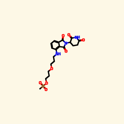 CS(=O)(=O)OCCCOCCCNc1cccc2c1C(=O)N(C1CCC(=O)NC1=O)C2=O